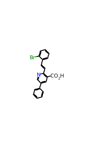 O=C(O)c1cc(-c2ccccc2)cnc1/C=C/c1ccccc1Br